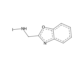 INCc1nc2ccccc2o1